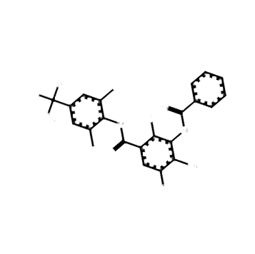 Cc1cc(C(F)(C(F)(F)F)C(F)(F)F)cc(C)c1NC(=O)c1cc(F)c(C#N)c(NC(=O)c2ccccc2)c1F